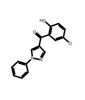 O=C(c1cnn(-c2ccccc2)c1)c1cc(Cl)ccc1O